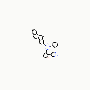 c1ccc(-c2nc(-c3ccc4c(ccc5c6ccccc6ccc45)c3)nc(-c3cccc4oc5cnccc5c34)n2)cc1